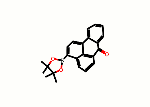 CC1(C)OB(c2ccc3c4c(cccc24)C(=O)c2ccccc2-3)OC1(C)C